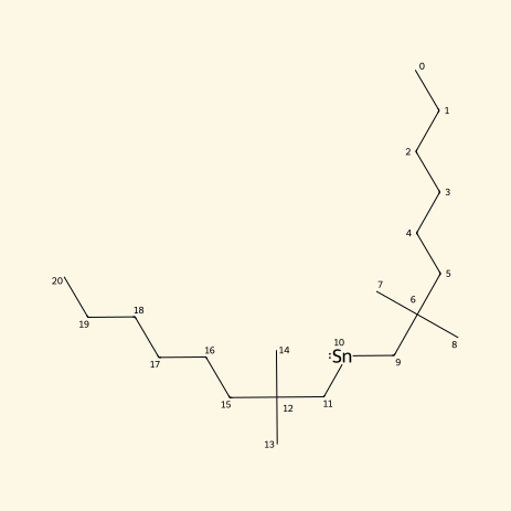 CCCCCCC(C)(C)[CH2][Sn][CH2]C(C)(C)CCCCCC